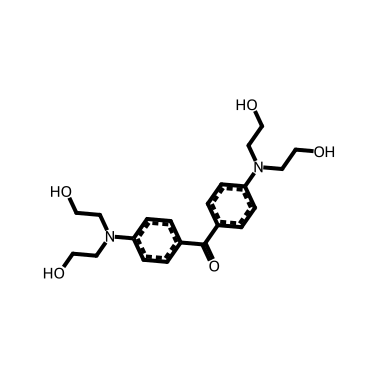 O=C(c1ccc(N(CCO)CCO)cc1)c1ccc(N(CCO)CCO)cc1